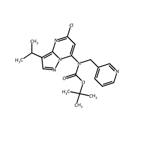 CC(C)c1cnn2c(N(Cc3cccnc3)C(=O)OC(C)(C)C)cc(Cl)nc12